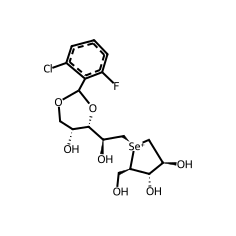 OC[C@@H]1[C@@H](O)[C@H](O)C[Se@+]1C[C@@H](O)[C@H]1OC(c2c(F)cccc2Cl)OC[C@H]1O